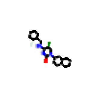 O=c1nc(NCc2ccccc2F)c(F)cn1-c1ccc2ccccc2c1